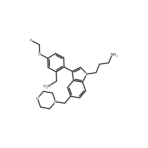 NCCCn1cc(-c2ccc(OCF)cc2CN)c2cc(CN3CCOCC3)ccc21